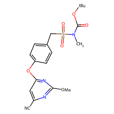 COc1nc(C#N)cc(Oc2ccc(CS(=O)(=O)N(C)C(=O)OC(C)(C)C)cc2)n1